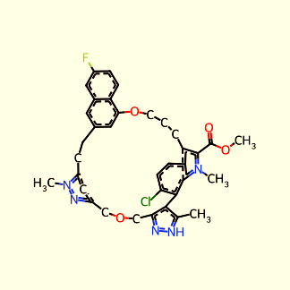 COC(=O)c1c2c3ccc(Cl)c(c3n1C)-c1c(n[nH]c1C)COCc1cc(n(C)n1)CCc1cc(c3ccc(F)cc3c1)OCCC2